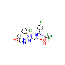 CC(C)(O)CNc1nc(Cn2nc(-c3ccc(Cl)cc3)n(C[C@H](O)C(F)(F)F)c2=O)nn1-c1ccccc1Cl